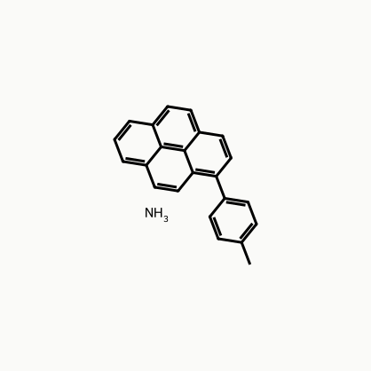 Cc1ccc(-c2ccc3ccc4cccc5ccc2c3c45)cc1.N